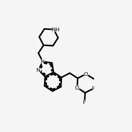 COC(Cc1cccc2nn(CC3CCNCC3)cc12)OC(F)F